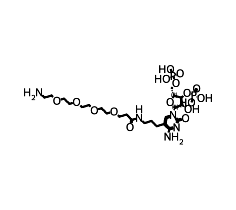 NCCOCCOCCOCCOCCC(=O)NCCCc1cn([C@@H]2O[C@H](COP(=O)(O)O)C(OP(=O)(O)O)[C@@H]2O)c(=O)nc1N